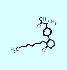 CCCCCCCCC1=C(c2ccc(C(C)C(=O)O)cc2)CCCC1=O